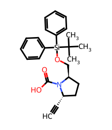 C#C[C@H]1CC[C@H](CO[Si](c2ccccc2)(c2ccccc2)C(C)(C)C)N1C(=O)O